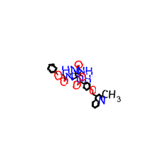 Cc1cc(COc2ccc(C(=O)N[C@H]3CN(C(=O)COc4ccccc4)C[C@]34NC(=O)NC4=O)cc2)c2ccccc2n1